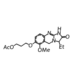 CCC1C(=O)NC2=Nc3ccc(OCCCOC(C)=O)c(OC)c3CN21